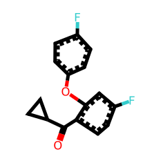 O=C(c1ccc(F)cc1Oc1ccc(F)cc1)C1CC1